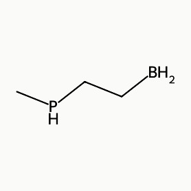 BCCPC